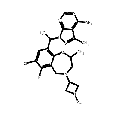 CC(=O)N1CC(N2Cc3c(F)c(Cl)cc(C(C)n4nc(C)c5c(N)ncnc54)c3OC(C)C2)C1